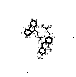 COc1ccc(C(NC(=O)OCC2c3ccccc3-c3ccccc32)c2cc(CCC(=O)O)ccc2OC)cc1